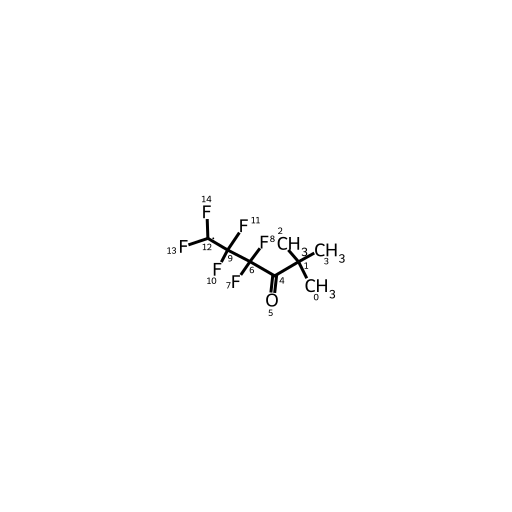 CC(C)(C)C(=O)C(F)(F)C(F)(F)[C](F)F